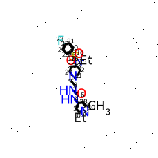 CCc1cc(NC(=O)NCCN2CCC(N(CC)S(=O)(=O)c3ccc(F)cc3)CC2)cc(C)n1